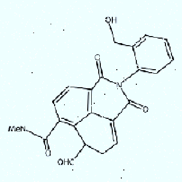 CNC(=O)c1ccc2c3c1C(C=O)CC=C3C(=O)N(c1ccccc1CO)C2=O